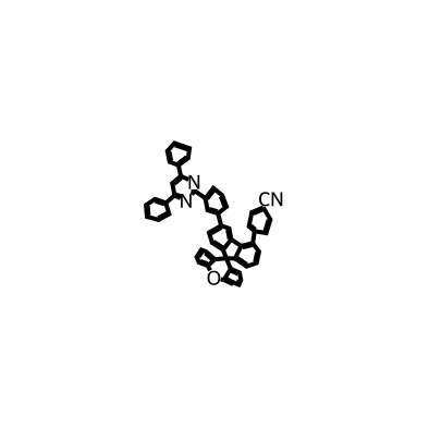 N#Cc1ccc(-c2cccc3c2-c2cc(-c4cccc(-c5nc(-c6ccccc6)cc(-c6ccccc6)n5)c4)ccc2C32c3ccccc3Oc3ccccc32)cc1